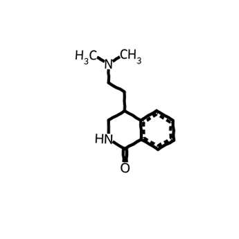 CN(C)CCC1CNC(=O)c2ccccc21